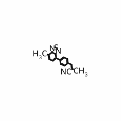 C/C(C#N)=C/c1ccc(-c2ccc(C)c3nsnc23)cc1